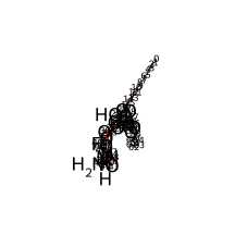 CCCCCCCCCCCCCCCCCC(=O)OCC(O)C(OC(=O)CCC(=O)OC[C@H]1O[C@@H](n2cnc3c(=O)[nH]c(N)nc32)C[C@@H]1F)OC(=O)[C@@H](NC(=O)OCc1ccccc1)C(C)C